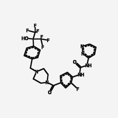 O=C(Nc1cccnn1)Nc1ccc(C(=O)N2CCN(Cc3ccc(C(O)(C(F)(F)F)C(F)(F)F)cc3)CC2)cc1F